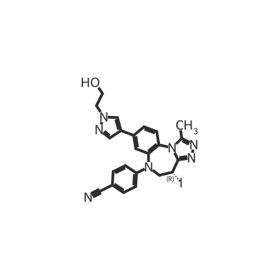 Cc1nnc2n1-c1ccc(-c3cnn(CCO)c3)cc1N(c1ccc(C#N)cc1)C[C@H]2I